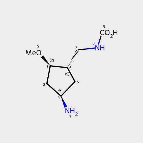 CO[C@@H]1C[C@H](N)C[C@H]1CNC(=O)O